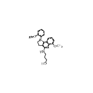 COc1ccccc1N1CCc2c(NCCCO)nc3c(OC(F)(F)F)cccc3c21